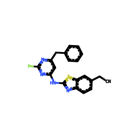 N#CCc1ccc2nc(Nc3cc(Cc4ccccc4)nc(F)n3)sc2c1